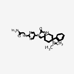 CN(C)[C@]1(c2ccccc2)CC[C@@]2(CC1)CN(c1cnc(NCC(N)=O)nc1)C(=O)N2